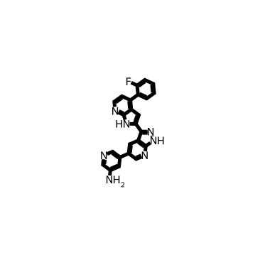 Nc1cncc(-c2cnc3[nH]nc(-c4cc5c(-c6ccccc6F)ccnc5[nH]4)c3c2)c1